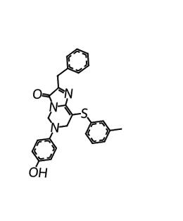 Cc1cccc(SC2=C3N=C(Cc4ccccc4)C(=O)N3CN(c3ccc(O)cc3)C2)c1